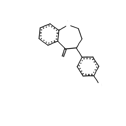 Cc1ccc(C2CCOc3ccccc3C2=O)cc1